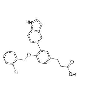 O=C(O)CCc1ccc(OCc2ccccc2Cl)c(-c2ccc3[nH]ccc3c2)c1